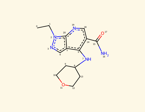 CCn1ncc2c(NC3CCOCC3)c(C(N)=O)cnc21